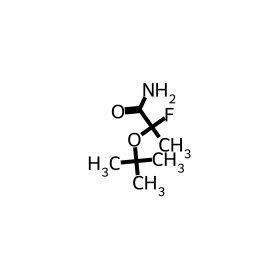 CC(C)(C)OC(C)(F)C(N)=O